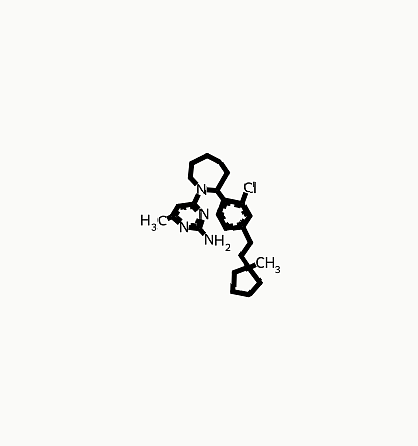 Cc1cc(N2CCCCCC2c2ccc(CCC3(C)CCCC3)cc2Cl)nc(N)n1